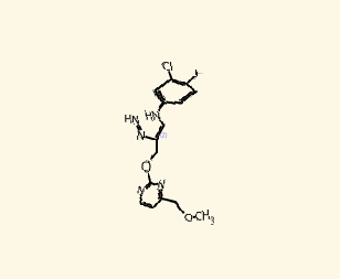 COCc1ccnc(OC/C(=C/Nc2ccc(F)c(Cl)c2)N=N)n1